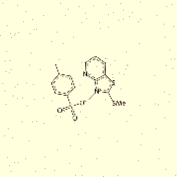 CSc1sc2cccnc2[n+]1C.Cc1ccc(S(=O)(=O)[O-])cc1